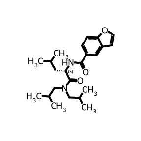 CC(C)C[C@H](NC(=O)c1ccc2occc2c1)C(=O)N(CC(C)C)CC(C)C